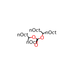 CCCCCCCCC(CCCCCCCC)OC(=O)OC(CCCCCCCC)CCCCCCCC